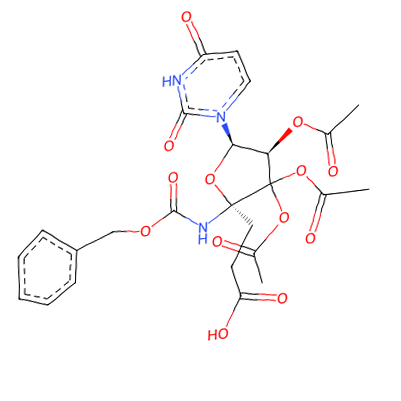 CC(=O)O[C@@H]1[C@H](n2ccc(=O)[nH]c2=O)O[C@](CCC(=O)O)(NC(=O)OCc2ccccc2)C1(OC(C)=O)OC(C)=O